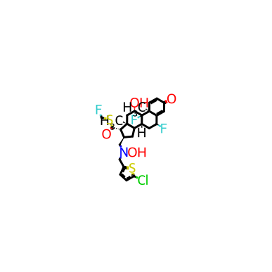 C[C@]12C[C@H](O)[C@@]3(F)[C@@H](C[C@H](F)C4=CC(=O)C=C[C@@]43C)C1C[C@@H](CN(O)Cc1ccc(Cl)s1)[C@@H]2C(=O)SCF